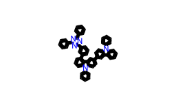 c1ccc(-c2nc(-c3ccccc3)nc(-c3cccc(-c4cccc5c4c4cc(-c6ccc7c(c6)c6ccccc6n7-c6ccccc6)ccc4n5-c4ccccc4)c3)n2)cc1